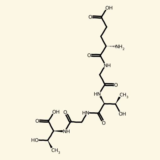 C[C@@H](O)[C@H](NC(=O)CNC(=O)[C@@H](NC(=O)CNC(=O)[C@@H](N)CCC(=O)O)[C@@H](C)O)C(=O)O